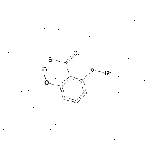 CC(C)Oc1cccc(OC(C)C)c1C(=O)Br